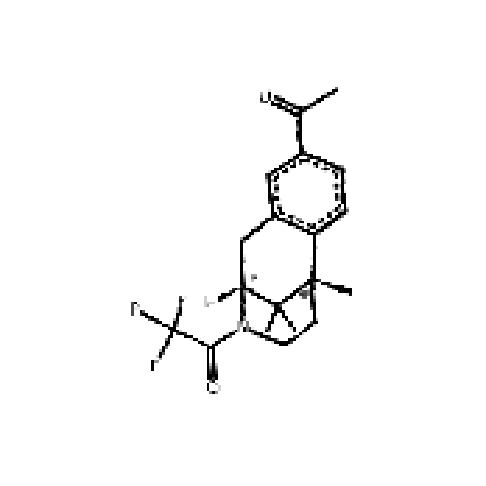 CC(=O)c1ccc2c(c1)C[C@H]1N(C(=O)C(F)(F)F)CC[C@]2(C)C1(C)C